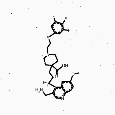 COc1ccc2ncc(CN)c([C@H](F)CCC3(C(=O)O)CCN(CCSc4cc(F)c(F)c(F)c4)CC3)c2c1